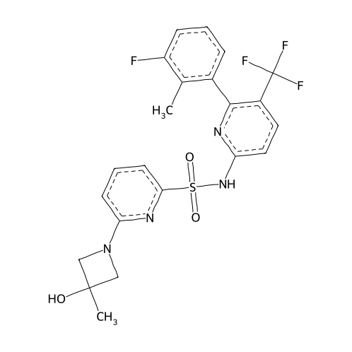 Cc1c(F)cccc1-c1nc(NS(=O)(=O)c2cccc(N3CC(C)(O)C3)n2)ccc1C(F)(F)F